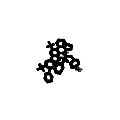 CC(C)(C)c1cc2c(cc1-c1ccccc1)Cc1c-2cc(C(C)(C)C)c(-c2ccccc2)[c]1/[Zr+2]([C]1=CC=CC1)=[C](/Cc1ccccc1)C(C)(C)c1ccccc1.[Cl-].[Cl-]